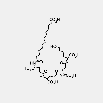 O=C(O)CCCCCCCCCCCCC(=O)N[C@@H](CCC(=O)N[C@@H](CCC(=O)N[C@@H](CCC(=O)N[C@@H](CCCCO)C(=O)O)C(=O)O)C(=O)O)C(=O)O